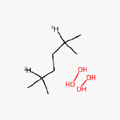 OO.OO.[2H]C(C)(C)CCC([2H])(C)C